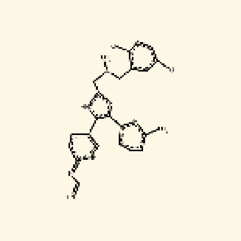 BN(Cc1nc(-c2cccc(C)n2)c(-c2cc/c(=N/C=N)[nH]c2)[nH]1)Cc1cc(Cl)ccc1Cl